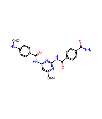 COc1cc(NC(=O)c2ccc(NC=O)cc2)nc(NC(=O)c2ccc(C(N)=O)cc2)n1